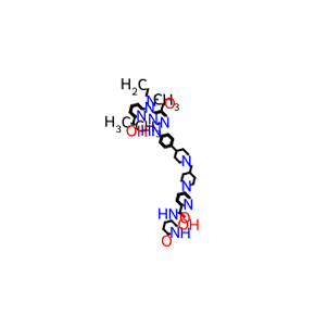 C=CCN(C)N(c1cccc(C(C)(C)O)n1)c1nc(Nc2ccc(C3CCN(CC4CCN(c5ccc(C(=O)NC6CCC(=O)NC6O)nc5)CC4)CC3)cc2)ncc1C=O